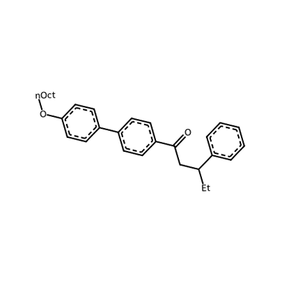 CCCCCCCCOc1ccc(-c2ccc(C(=O)CC(CC)c3ccccc3)cc2)cc1